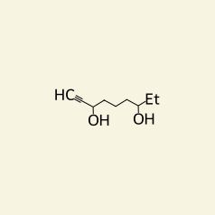 C#CC(O)CCCC(O)CC